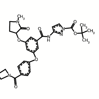 CN1CCC(Oc2cc(Oc3ccc(C(=O)N4CCC4)cc3)cc(C(=O)Nc3ccn(C(=O)OC(C)(C)C)n3)c2)C1=O